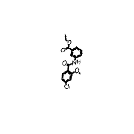 CCOC(=O)c1cccc(NC(=O)c2ccc(Cl)cc2OC)c1